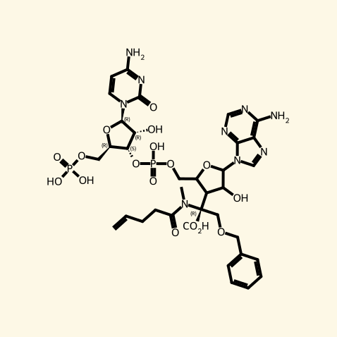 C=CCCC(=O)N(C)[C@](COCc1ccccc1)(C(=O)O)C1C(COP(=O)(O)O[C@H]2[C@@H](O)[C@H](n3ccc(N)nc3=O)O[C@@H]2COP(=O)(O)O)OC(n2cnc3c(N)ncnc32)C1O